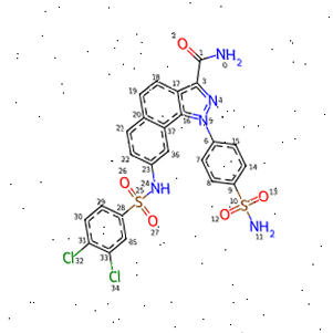 NC(=O)c1nn(-c2ccc(S(N)(=O)=O)cc2)c2c1ccc1ccc(NS(=O)(=O)c3ccc(Cl)c(Cl)c3)cc12